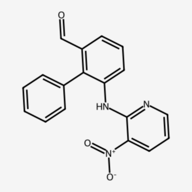 O=Cc1cccc(Nc2ncccc2[N+](=O)[O-])c1-c1ccccc1